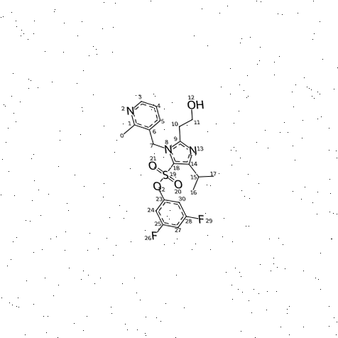 Cc1ncccc1Cn1c(CCO)nc(C(C)C)c1S(=O)(=O)Oc1cc(F)cc(F)c1